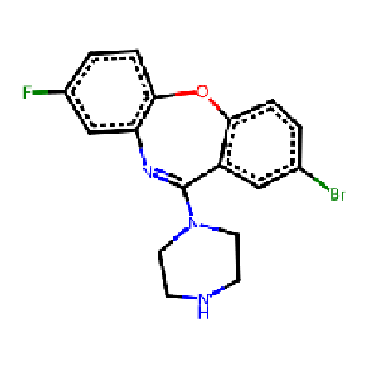 Fc1ccc2c(c1)N=C(N1CCNCC1)c1cc(Br)ccc1O2